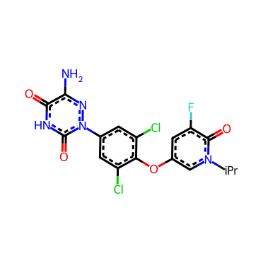 CC(C)n1cc(Oc2c(Cl)cc(-n3nc(N)c(=O)[nH]c3=O)cc2Cl)cc(F)c1=O